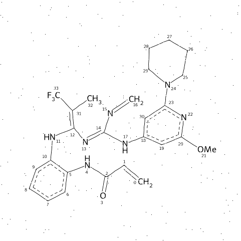 C=CC(=O)Nc1ccccc1NC(/N=C(\N=C)Nc1cc(OC)nc(N2CCCCC2)c1)=C(/C)C(F)(F)F